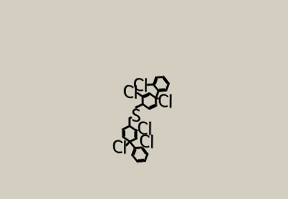 ClC1=CC(Cl)(c2ccccc2Cl)C=CC1CSCC1C=CC(Cl)(c2ccccc2Cl)C=C1Cl